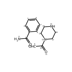 NC(=O)c1ccccc1.O=CC(=O)N1CCNCC1